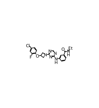 CCNC(=O)c1cccc(Nc2ncnc(N3CC(Oc4ccc(Cl)cc4F)C3)n2)c1